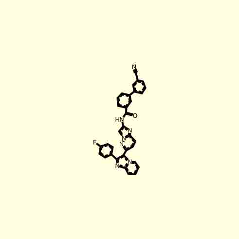 N#Cc1cccc(-c2cccc(C(=O)Nc3cn4nc(-c5c(-c6ccc(F)cc6)nc6ccccn56)ccc4n3)c2)c1